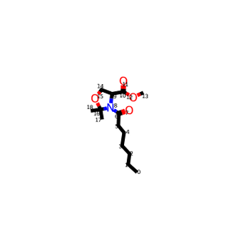 CCCCCCC(=O)N1C(C(=O)OC)COC1(C)C